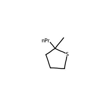 CCCC1(C)CCCS1